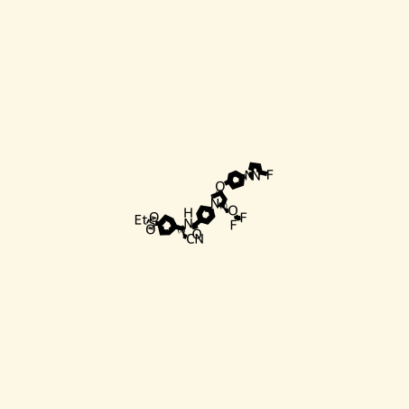 CCS(=O)(=O)c1ccc([C@H](CC#N)NC(=O)c2ccc(N3C[C@@H](Oc4ccc(-n5ccc(F)n5)cc4)C[C@H]3COC(F)F)cc2)cc1